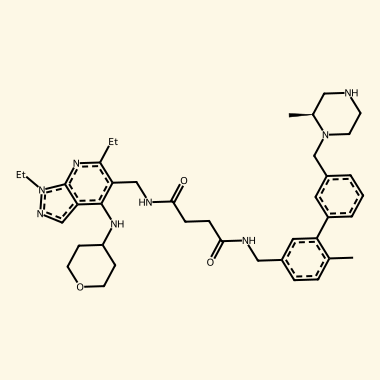 CCc1nc2c(cnn2CC)c(NC2CCOCC2)c1CNC(=O)CCC(=O)NCc1ccc(C)c(-c2cccc(CN3CCNC[C@@H]3C)c2)c1